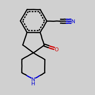 N#Cc1cccc2c1C(=O)C1(CCNCC1)C2